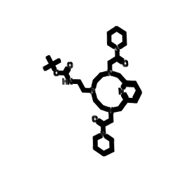 CC(C)(C)OC(=O)NCCN1CCN(CC(=O)N2CCCCC2)Cc2cccc(n2)CN(CC(=O)N2CCCCC2)CC1